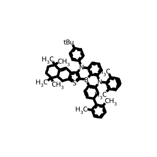 Cc1c#ccc(C)c1N1C2=C(C=CC(c3c(C)cccc3C)C2)B2c3sc4c(c3N(c3ccc(C(C)(C)C)cc3)c3cccc1c32)C=C1C(C4)C(C)(C)CCC1(C)C